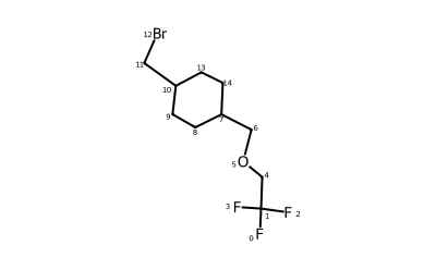 FC(F)(F)COCC1CCC(CBr)CC1